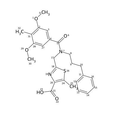 COc1cc(C(=O)N(CCCc2ccccc2)Cc2nc(C(=O)O)c(C)s2)cc(OC)c1C